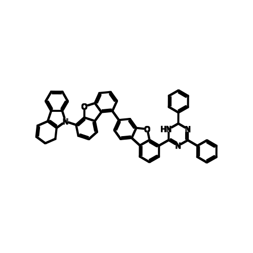 C1=Cc2c(n(-c3cccc4c3oc3cccc(-c5ccc6c(c5)oc5c(C7=NC(c8ccccc8)=NC(c8ccccc8)N7)cccc56)c34)c3ccccc23)CC1